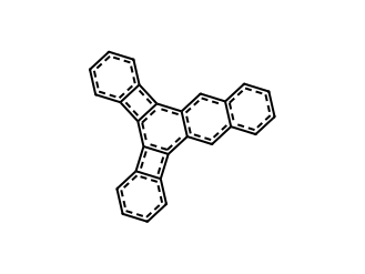 c1ccc2cc3c(cc2c1)c1c2ccccc2c1c1c2ccccc2c31